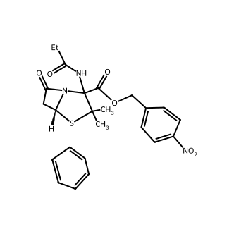 CCC(=O)NC1(C(=O)OCc2ccc([N+](=O)[O-])cc2)N2C(=O)C[C@H]2SC1(C)C.c1ccccc1